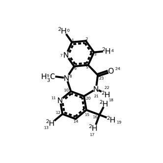 [2H]c1cc([2H])c2c(n1)N(C)c1nc([2H])cc(C([2H])([2H])[2H])c1N([2H])C2=O